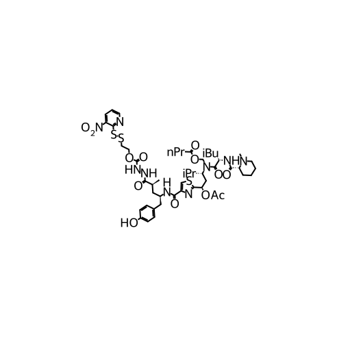 CCCC(=O)OCN(C(=O)[C@@H](NC(=O)[C@H]1CCCCN1C)[C@@H](C)CC)[C@H](C[C@@H](OC(C)=O)c1nc(C(=O)N[C@@H](Cc2ccc(O)cc2)C[C@H](C)C(=O)NNC(=O)OCCSSc2ncccc2[N+](=O)[O-])cs1)C(C)C